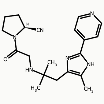 Cc1[nH]c(-c2ccncc2)nc1CC(C)(C)NCC(=O)N1CCC[C@H]1C#N